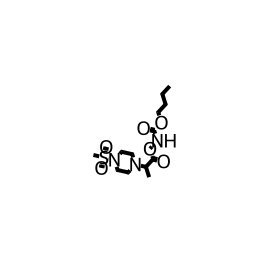 CCCCOC(=O)NOC(=O)C(C)N1CCN(S(C)(=O)=O)CC1